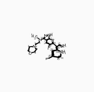 CN(CCN1CCOCC1)c1n[nH]c2nc(/C(C=N)=C3\C=C(F)C=CN3)c(F)cc12